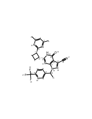 Cc1cc(C)nc([C@@H]2CC[C@H]2c2nc3c(c(C#N)nn3C(C)c3ccc(C(F)(F)F)nc3)c(=O)[nH]2)n1